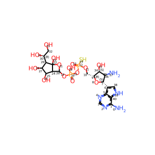 Nc1ncnc2c([C@@H]3O[C@H](COP(=O)(S)OP(=O)(O)OC4OC5(O)C4C(O)C(O)C5[C@@H](O)CO)[C@@H](O)[C@H]3N)c[nH]c12